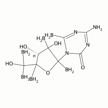 Bc1nc(N)nc(=O)n1C1(B)OC(B)(C(B)(B)O)[C@H](O)C1(B)O